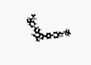 CCC1(C(=O)NC(C)C)CCN(c2ccc(-c3cc(-c4ccc(N5CCC(O)(CCO[Si](C)(C)C(C)(C)C)CC5)cc4)cn4ncc(C#N)c34)cn2)CC1